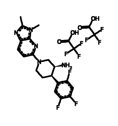 Cc1nc2ccc(N3CC[C@H](c4cc(F)c(F)cc4F)[C@@H](N)C3)nc2n1C.O=C(O)C(F)(F)F.O=C(O)C(F)(F)F